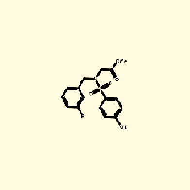 COC(=O)CN(Cc1cccc(Br)c1)S(=O)(=O)c1ccc(C)cc1